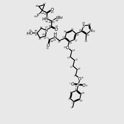 Cc1ccc(S(=O)(=O)OCCCCCCOc2cc(-c3scnc3C)ccc2CNC(=O)[C@@H]2C[C@@H](O)CN2C(=O)[C@@H](NC(=O)C2(F)CC2)C(C)(C)C)cc1